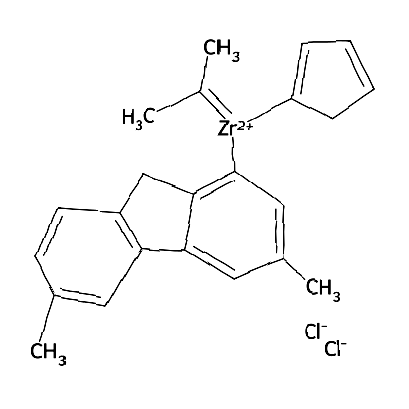 C[C](C)=[Zr+2]([C]1=CC=CC1)[c]1cc(C)cc2c1Cc1ccc(C)cc1-2.[Cl-].[Cl-]